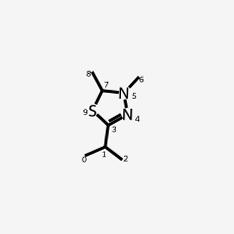 CC(C)C1=NN(C)C(C)S1